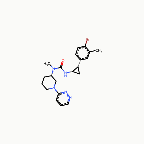 Cc1cc([C@@H]2C[C@H]2NC(=O)N(C)[C@@H]2CCCN(c3cccnn3)C2)ccc1Br